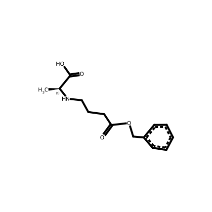 C[C@H](NCCCC(=O)OCc1ccccc1)C(=O)O